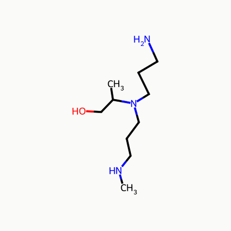 CNCCCN(CCCN)C(C)CO